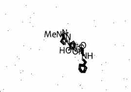 CNc1ncnc2c1ccn2[C@@H]1C[C@H](CS(=O)(=O)CCNCCc2ccccc2)[C@@H](O)[C@H]1O